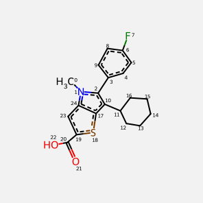 Cn1c(-c2ccc(F)cc2)c(C2CCCCC2)c2sc(C(=O)O)cc21